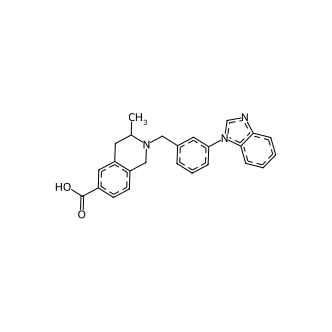 CC1Cc2cc(C(=O)O)ccc2CN1Cc1cccc(-n2cnc3ccccc32)c1